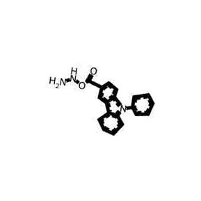 NNOC(=O)c1ccc2c(c1)c1ccccc1n2-c1ccccc1